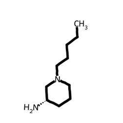 CCCCCN1CCC[C@H](N)C1